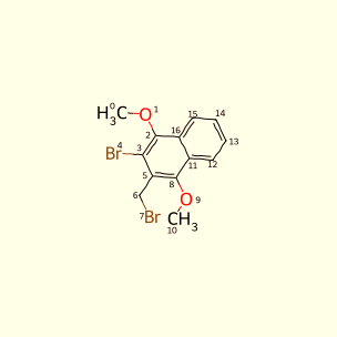 COc1c(Br)c(CBr)c(OC)c2ccccc12